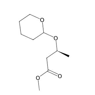 COC(=O)C[C@H](C)OC1CCCCO1